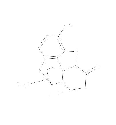 CCOC(=O)N1CC[C@]23c4c5ccc(OC(C)=O)c4OC2C(=O)CC[C@@]3(OC(C)=O)[C@H]1C5